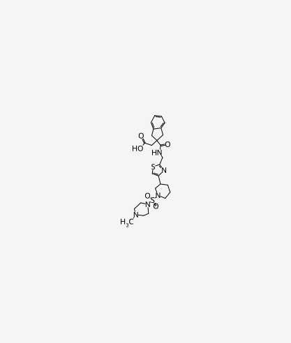 CN1CCN(S(=O)(=O)N2CCCC(c3csc(CNC(=O)C4(CC(=O)O)Cc5ccccc5C4)n3)C2)CC1